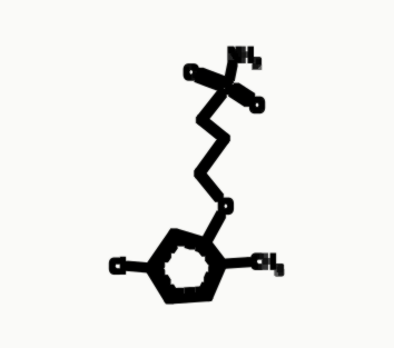 Cc1ccc(Cl)cc1OCCCS(N)(=O)=O